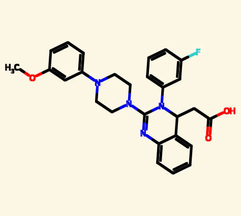 COc1cccc(N2CCN(C3=Nc4ccccc4C(CC(=O)O)N3c3cccc(F)c3)CC2)c1